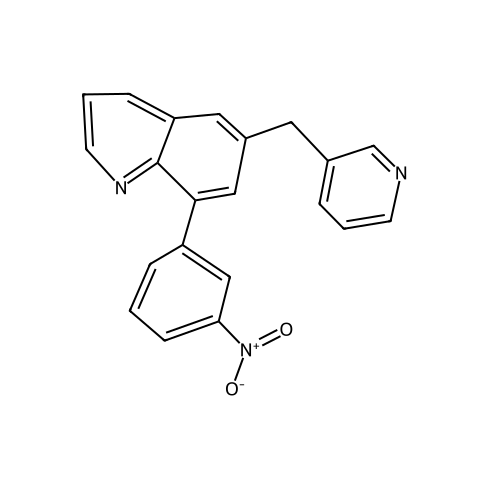 O=[N+]([O-])c1cccc(-c2cc(Cc3cccnc3)cc3cccnc23)c1